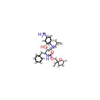 CCC1(COC(=O)N[C@@H](Cc2ccccc2)[C@H](O)CN(CC(C)C)c2ccc(N)cc2)CCCO1